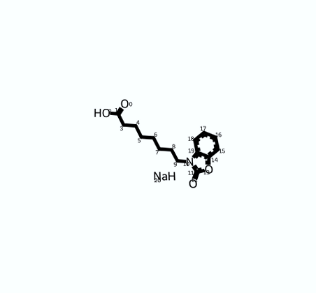 O=C(O)CCCCCCCn1c(=O)oc2ccccc21.[NaH]